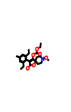 CCOC(=O)OC1=C(c2c(CC)cc(C)cc2CC)C(=O)OC12CCN(OC)CC2